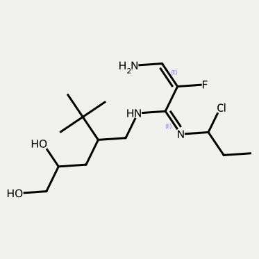 CCC(Cl)/N=C(NCC(CC(O)CO)C(C)(C)C)\C(F)=C/N